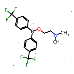 CN(C)CCOB(c1ccc(C(F)(F)F)cc1)c1ccc(C(F)(F)F)cc1